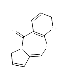 O=C1C2=C(NCC=C2)OC=C2C=CCN12